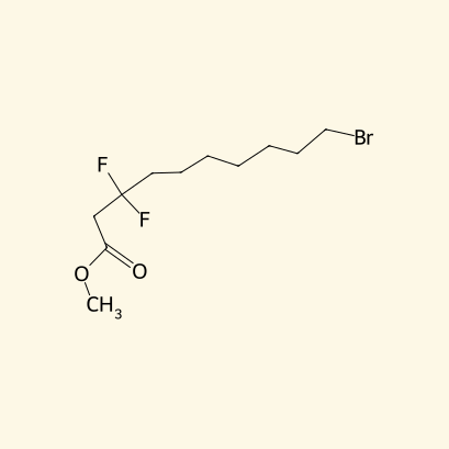 COC(=O)CC(F)(F)CCCCCCCBr